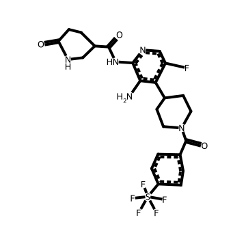 Nc1c(NC(=O)C2CCC(=O)NC2)ncc(F)c1C1CCN(C(=O)c2ccc(S(F)(F)(F)(F)F)cc2)CC1